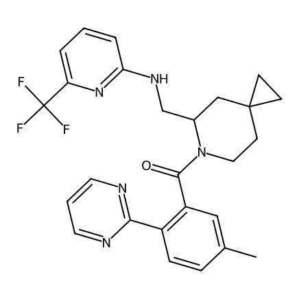 Cc1ccc(-c2ncccn2)c(C(=O)N2CCC3(CC3)CC2CNc2cccc(C(F)(F)F)n2)c1